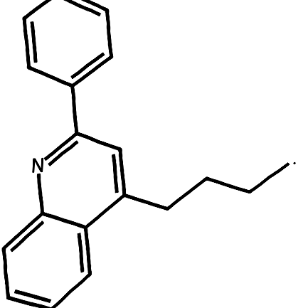 [CH2]CCCc1cc(-c2ccccc2)nc2ccccc12